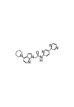 O=C(Cn1ccc2c(N3CCCCC3)ccnc21)Nc1ccc(-c2cnccn2)cn1